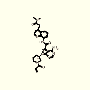 C=CC(=O)N1CCC[C@@H](n2nc(C(=O)Nc3cccc4c(CC(=O)N(C)C)ccnc34)c3c(N)ncnc32)C1